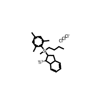 CCCC[Si](C)(c1c(C)cc(C)cc1C)C1CC2C=CC=CC2[CH]1[Ti+3].[Cl-].[Cl-].[Cl-]